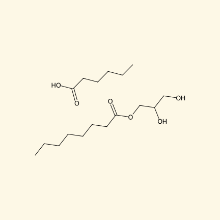 CCCCCC(=O)O.CCCCCCCC(=O)OCC(O)CO